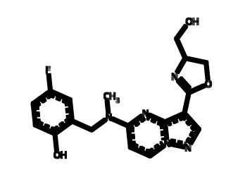 CN(Cc1cc(F)ccc1O)c1ccn2ncc(C3=NC(CO)CO3)c2n1